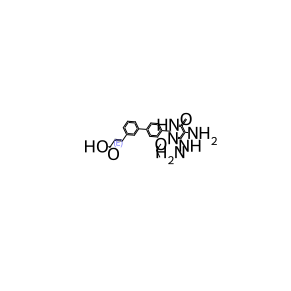 CCOc1cc(-c2cccc(/C=C/C(=O)O)c2)ccc1-c1nc(NN)c(N)c(=O)[nH]1